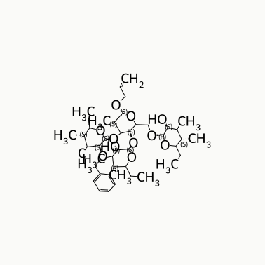 C=CCO[C@H]1OC(CO[C@@H]2OC(CC)[C@@H](C)C(C)[C@@H]2O)[C@@H](O[C@@H]2OC(CC)[C@@H](C)C(C)[C@@H]2O)C(O[C@@H]2OC(CC)[C@@H](C)C(C)[C@@H]2OCc2ccccc2)[C@@H]1C